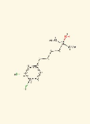 CO[Si](O)(CCCCc1ccc(F)c(F)c1)OC